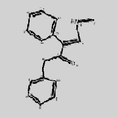 CN/C=C(/C(=O)Cc1ccccc1)c1ccccc1